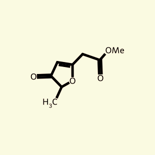 COC(=O)CC1=CC(=O)C(C)O1